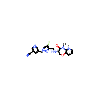 CN1C(=O)[C@@H](NCc2nn(Cc3cncc(C#N)c3)cc2F)COc2cccnc21